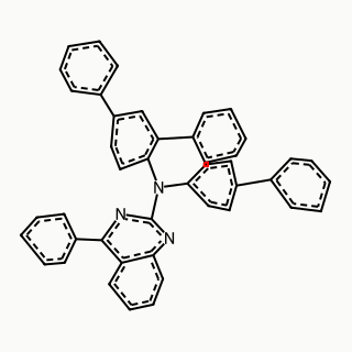 c1ccc(-c2ccc(N(c3nc(-c4ccccc4)c4ccccc4n3)c3ccc(-c4ccccc4)cc3-c3ccccc3)cc2)cc1